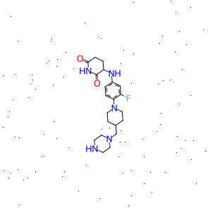 O=C1CCC(Nc2ccc(N3CCC(CN4CCNCC4)CC3)c(F)c2)C(=O)N1